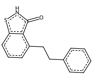 O=c1[nH]sc2cccc(CCc3ccccc3)c12